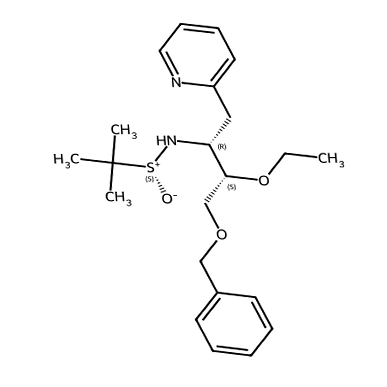 CCO[C@H](COCc1ccccc1)[C@@H](Cc1ccccn1)N[S@+]([O-])C(C)(C)C